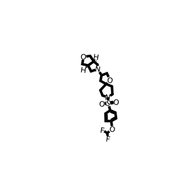 O=S(=O)(c1ccc(OC(F)F)cc1)N1CCC2(CC1)CC(N1C[C@H]3COC[C@H]3C1)CO2